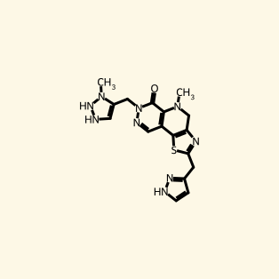 CN1NNC=C1Cn1ncc2c(c1=O)N(C)Cc1nc(Cc3cc[nH]n3)sc1-2